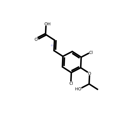 CC(O)Oc1c(Cl)cc(/C=C/C(=O)O)cc1Cl